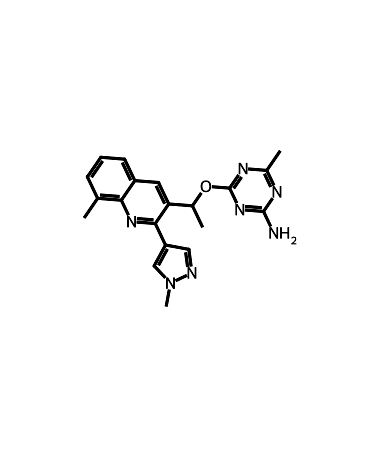 Cc1nc(N)nc(OC(C)c2cc3cccc(C)c3nc2-c2cnn(C)c2)n1